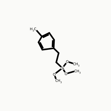 CO[Si](CCc1ccc(C)cc1)(OC)OC